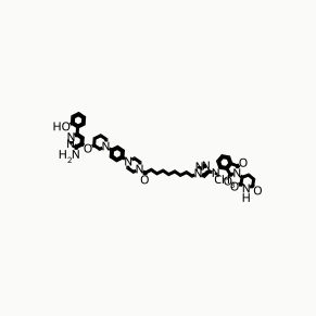 CN(c1cn(CCCCCCCCC(=O)N2CCN(c3ccc(N4CCCC(Oc5cc(-c6ccccc6O)nnc5N)C4)cc3)CC2)nn1)c1cccc2c1C(=O)N(C1CCC(=O)NC1=O)C2=O